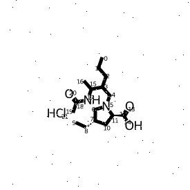 CCCC(CN1C[C@@H](CC)C[C@@H]1C(=O)O)C(C)NC(C)=O.Cl